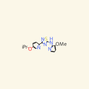 COc1cccnc1Nc1nc(-c2ccc(OC(C)C)cn2)ns1